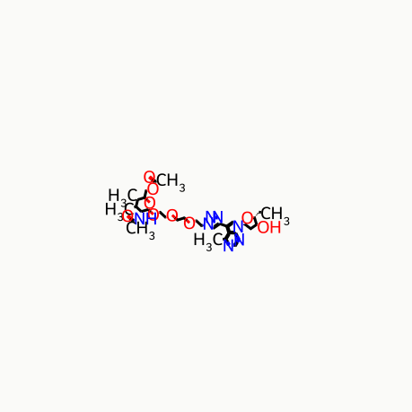 CC[C@H]1O[C@@H](n2cc(-c3cn(CCOCCOCCOC4OC(COC(C)=O)C(C)C(C)C4NC(C)=O)nn3)c3c(C)ncnc32)CC1O